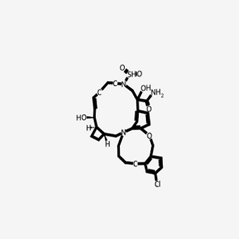 NC(=O)C1(O)CN([SH](=O)=O)CCC/C=C/[C@H](O)[C@@H]2CC[C@H]2CN2CCCCc3cc(Cl)ccc3COc3ccc1cc32